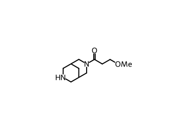 COCCC(=O)N1CC2CNCC(C2)C1